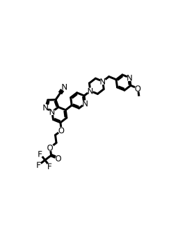 COc1ccc(CN2CCN(c3ccc(-c4cc(OCCOC(=O)C(F)(F)F)cn5ncc(C#N)c45)cn3)CC2)cn1